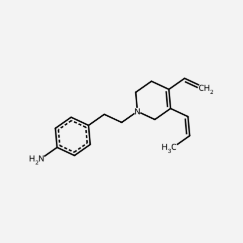 C=CC1=C(/C=C\C)CN(CCc2ccc(N)cc2)CC1